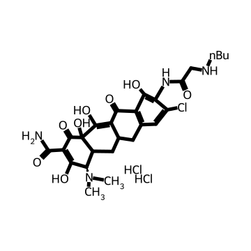 CCCCNCC(=O)Nc1c(Cl)cc2c(c1O)C(=O)C1=C(O)C3(O)C(=O)C(C(N)=O)=C(O)[C@@H](N(C)C)C3CC1C2.Cl.Cl